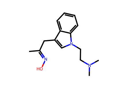 CC(Cc1cn(CCN(C)C)c2ccccc12)=NO